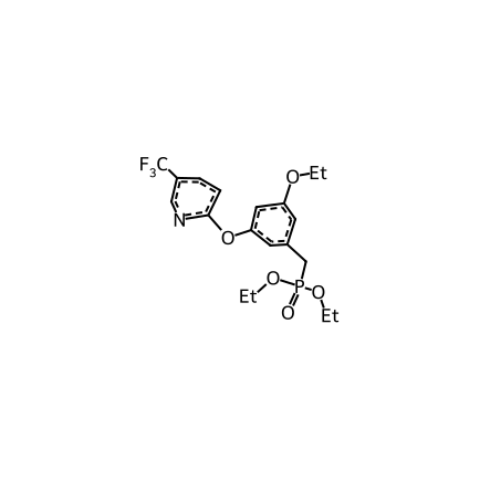 CCOc1cc(CP(=O)(OCC)OCC)cc(Oc2ccc(C(F)(F)F)cn2)c1